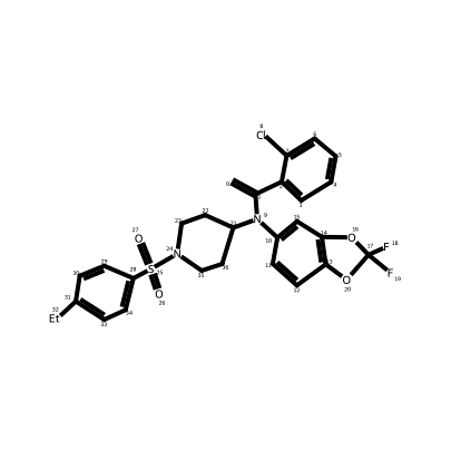 C=C(c1ccccc1Cl)N(c1ccc2c(c1)OC(F)(F)O2)C1CCN(S(=O)(=O)c2ccc(CC)cc2)CC1